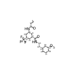 C=CC(=O)Nc1cc(C(=O)NCCc2cccc(OC)c2)cc(C(F)(F)F)c1